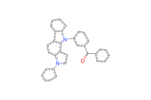 O=C(c1ccccc1)c1cccc(-n2c3ccccc3c3ccc4c(ccn4-c4ccccc4)c32)c1